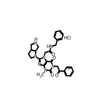 Cl.Cn1c(=O)n(CC(=O)c2ccccc2)c(=O)c2c1nc(N1CCC3CNCC31)n2CC(=O)NCc1ccccc1